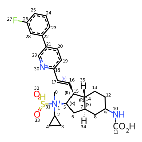 C[N+](C1CC1)([C@@H]1C[C@@H]2CC(NC(=O)O)CC[C@H]2[C@@H]1/C=C/c1ccc(-c2cccc(F)c2)cn1)[SH](=O)=O